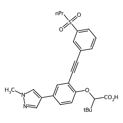 CCCS(=O)(=O)c1cccc(C#Cc2cc(-c3cnn(C)c3)ccc2OC(C(=O)O)C(C)(C)C)c1